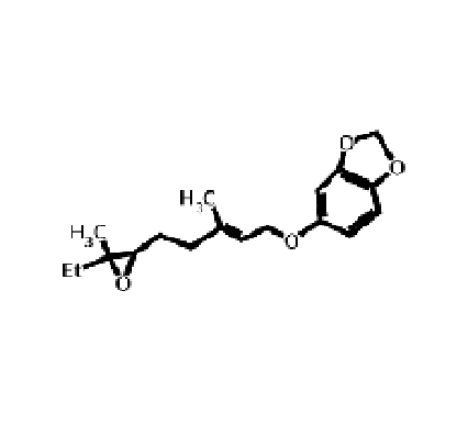 CCC1(C)OC1CC/C(C)=C/COc1ccc2c(c1)OCO2